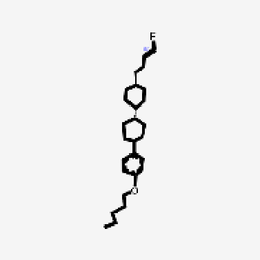 CCCCCOc1ccc(C2CCC([C@H]3CC[C@H](CC/C=C/F)CC3)CC2)cc1